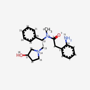 CN(C(=O)Cc1ccccc1N)[C@H](CN1CCC(O)C1)c1ccccc1